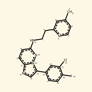 Cc1ccnc(CCNc2ccc3ncc(-c4ccc(F)c(Cl)c4)n3n2)c1